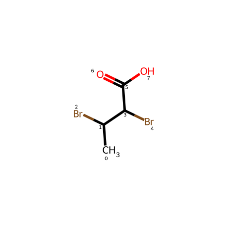 CC(Br)C(Br)C(=O)O